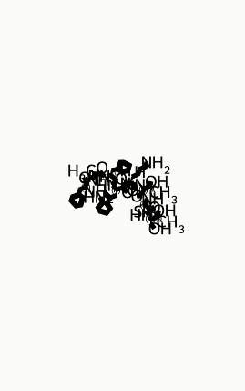 C[C@H](NC(=O)[C@H](N)Cc1ccccc1)C(=O)N[C@@H](Cc1ccccc1)C(=O)N[C@H](Cc1c[nH]c2ccccc12)C(=O)N[C@@H](CCCCN)C(=O)N[C@H](C(=O)N[C@@H](CS)C(=O)N[C@H](CO)[C@@H](C)O)[C@@H](C)O